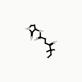 CCC(C)(C)C(=O)CCC(=O)OC1CCOC1=O